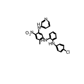 Cc1cc([N+](=O)[O-])c(Nc2cccnc2)cc1Nc1ccccc1Nc1ccc(Cl)cc1